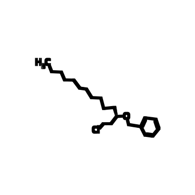 CCCCCCCCCCC[C@H](CCCl)OCc1ccccc1